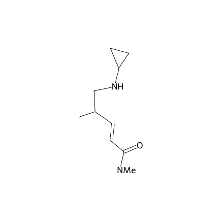 CNC(=O)C=CC(C)CNC1CC1